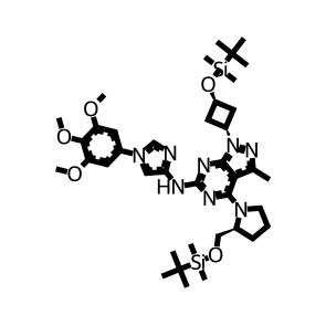 COc1cc(-n2cnc(Nc3nc(N4CCC[C@H]4CO[Si](C)(C)C(C)(C)C)c4c(C)nn([C@H]5C[C@H](O[Si](C)(C)C(C)(C)C)C5)c4n3)c2)cc(OC)c1OC